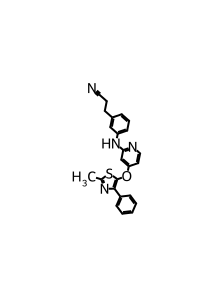 Cc1nc(-c2ccccc2)c(Oc2ccnc(Nc3cccc(CCC#N)c3)c2)s1